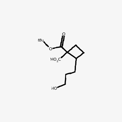 CC(C)(C)OC(=O)C1(C(=O)O)CCC1CCCO